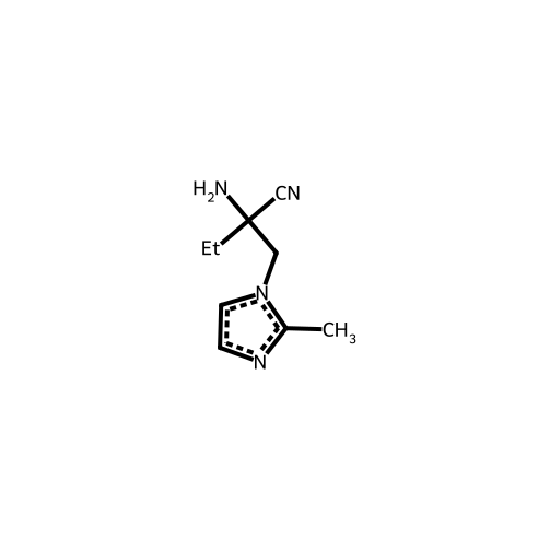 CCC(N)(C#N)Cn1ccnc1C